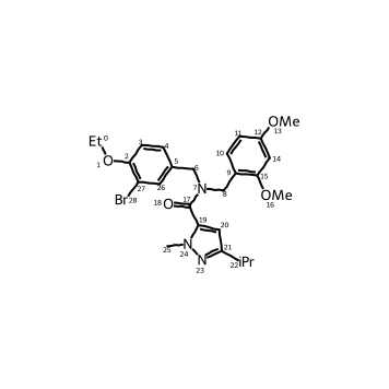 CCOc1ccc(CN(Cc2ccc(OC)cc2OC)C(=O)c2cc(C(C)C)nn2C)cc1Br